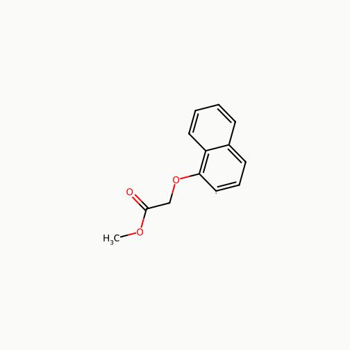 COC(=O)COc1[c]ccc2ccccc12